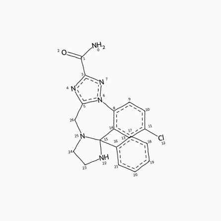 NC(=O)c1nc2n(n1)-c1ccc(Cl)cc1C1(c3ccccc3)NCCN1C2